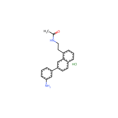 CC(=O)NCCc1cccc2ccc(-c3cccc(N)c3)cc12.Cl